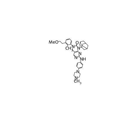 COCCc1cccc(N2Cc3cnc(Nc4ccc(N5CCN(C)CC5)cc4)nc3N(C34CC5CC(CC(C5)C3)C4)C2=O)c1C